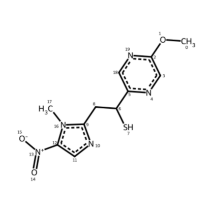 COc1cnc(C(S)Cc2ncc([N+](=O)[O-])n2C)cn1